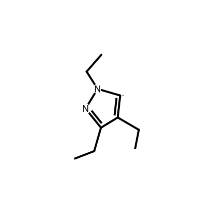 CCc1[c]n(CC)nc1CC